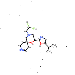 CC(C)c1cnc(C2CN(CC(F)F)CC3(CCNCC3)O2)o1